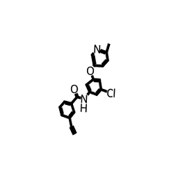 C#Cc1cccc(C(=O)Nc2cc(Cl)cc(Oc3ccc(C)nc3)c2)c1